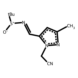 Cc1cc(C=N[S+]([O-])C(C)(C)C)n(CC#N)n1